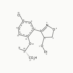 CCOC1CON=C1c1cc(Cl)ccc1O[C@@H](C)C(=O)O